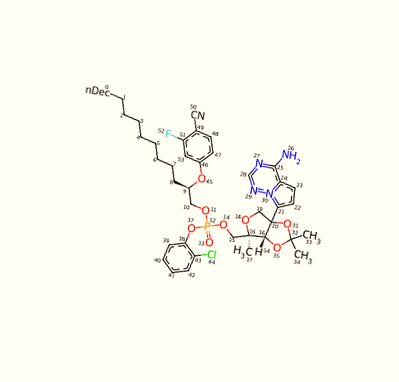 CCCCCCCCCCCCCCCCCC[C@H](COP(=O)(OC[C@@]1(C)OCC2(c3ccc4c(N)ncnn34)OC(C)(C)O[C@@H]21)Oc1ccccc1Cl)Oc1ccc(C#N)c(F)c1